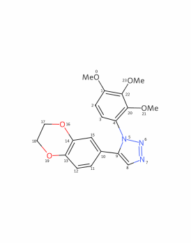 COc1ccc(-n2nncc2-c2ccc3c(c2)OCCO3)c(OC)c1OC